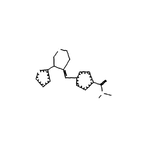 CCN(CC)C(=O)c1ccc(C=C2CCNCC2c2cccs2)cc1